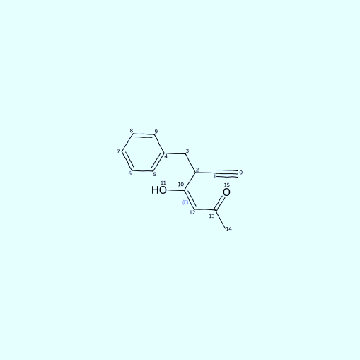 C#CC(Cc1ccccc1)/C(O)=C\C(C)=O